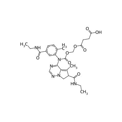 CCNC(=O)c1ccc(C)c(N(C(=O)OCOC(=O)CCC(=O)O)C2=NC=NN3CC(C(=O)NCC)C(C)=C23)c1